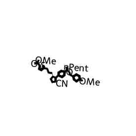 CCCCCC(OCc1ccc(OC)cc1)c1ccc(C2=C(C#N)CC[C@@H]2CCCc2ccc(C(=O)OC)s2)cc1